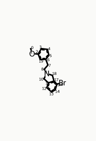 COc1cccc(CCN2Cc3cccc(Br)c3C2)c1